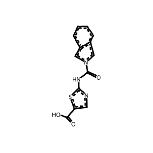 O=C(O)c1cnc(NC(=O)n2cc3ccccc3c2)s1